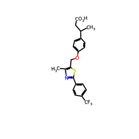 Cc1nc(-c2ccc(C(F)(F)F)cc2)sc1COc1ccc(C(C)CC(=O)O)cc1